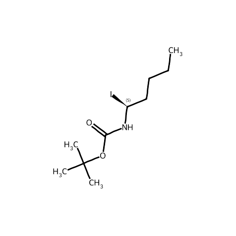 CCCC[C@H](I)NC(=O)OC(C)(C)C